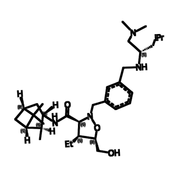 CC[C@@H]1[C@H](CO)ON(Cc2cccc(CN[C@@H](CC(C)C)CN(C)C)c2)[C@@H]1C(=O)N[C@H]1C[C@H]2C[C@@H]([C@@H]1C)C2(C)C